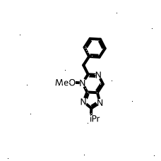 COn1c(Cc2ccccc2)ncc2nc(C(C)C)nc1-2